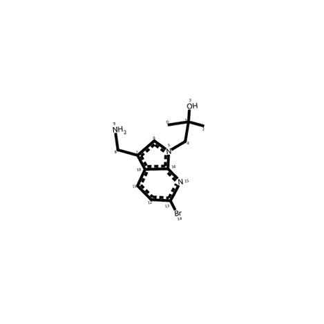 CC(C)(O)Cn1cc(CN)c2ccc(Br)nc21